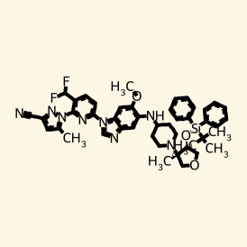 COc1cc2c(cc1NC1CCN([C@@]3(C)COC[C@H]3O[Si](c3ccccc3)(c3ccccc3)C(C)(C)C)CC1)ncn2-c1ccc(C(F)F)c(-n2nc(C#N)cc2C)n1